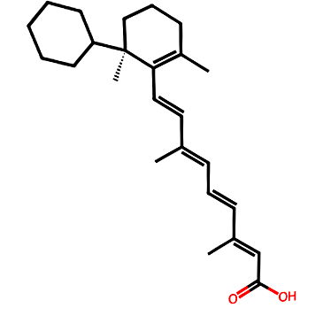 CC1=C(/C=C/C(C)=C/C=C/C(C)=C/C(=O)O)[C@@](C)(C2CCCCC2)CCC1